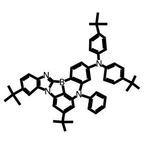 CC(C)(C)c1ccc(N(c2ccc(C(C)(C)C)cc2)c2ccc3c(c2)N(c2ccccc2)c2cc(C(C)(C)C)cc4c2B3c2nc3ccc(C(C)(C)C)cc3n2-4)cc1